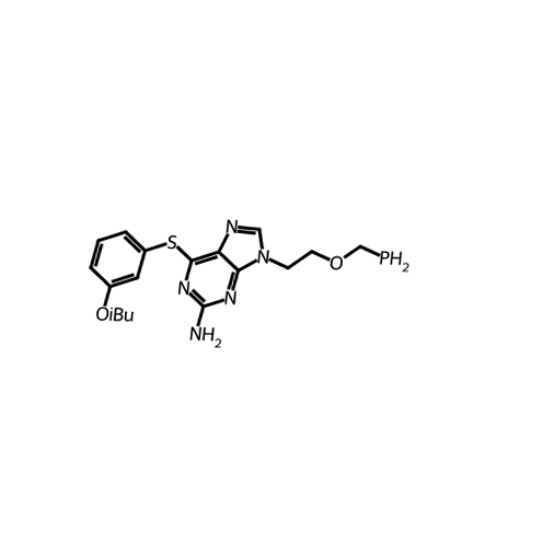 CC(C)COc1cccc(Sc2nc(N)nc3c2ncn3CCOCP)c1